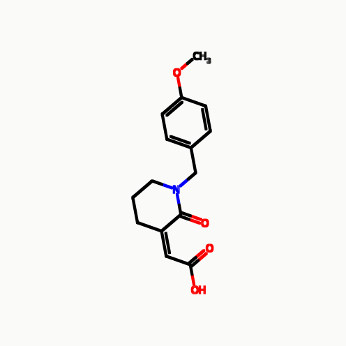 COc1ccc(CN2CCC/C(=C/C(=O)O)C2=O)cc1